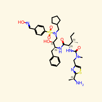 CC[C@H](C)[C@H](NC(=O)N(C)Cc1csc([C@H](C)N)n1)C(=O)N[C@@H](Cc1ccccc1)[C@@H](O)CN(CC1CCCC1)S(=O)(=O)c1ccc(C=NO)cc1